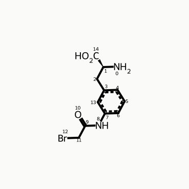 N[C@@H](Cc1cccc(NC(=O)CBr)c1)C(=O)O